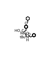 CC(C)(C)[C@H](NC(=O)Cc1ccccc1)C(=O)N[C@@H](Cc1ccc(OCC2CCCCC2)cc1)C(=O)O